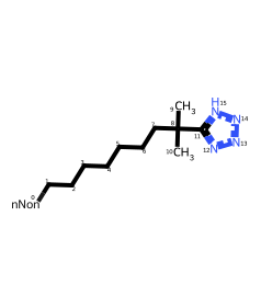 CCCCCCCCCCCCCCCCC(C)(C)c1nnn[nH]1